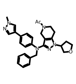 CC(=O)N1CCc2c(c(N(Cc3ccccc3)c3ccc(-c4cnn(C)c4)cc3)nn2C2CCOC2)C1